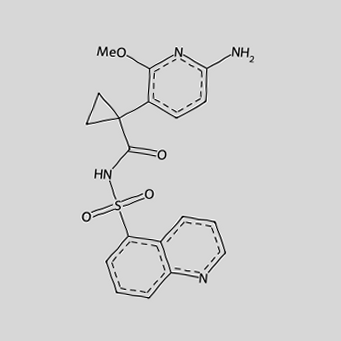 COc1nc(N)ccc1C1(C(=O)NS(=O)(=O)c2cccc3ncccc23)CC1